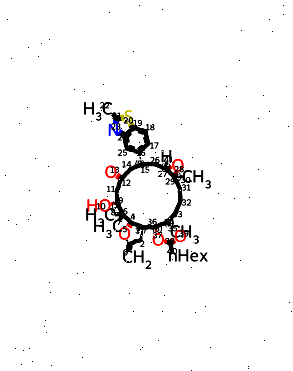 C=CC[C@H]1C(=O)C(C)(C)[C@@H](O)CC(=O)C[C@H](c2ccc3sc(C)nc3c2)C[C@@H]2O[C@]2(C)CCC[C@H](C)[C@@H]1OC(=O)CCCCCC